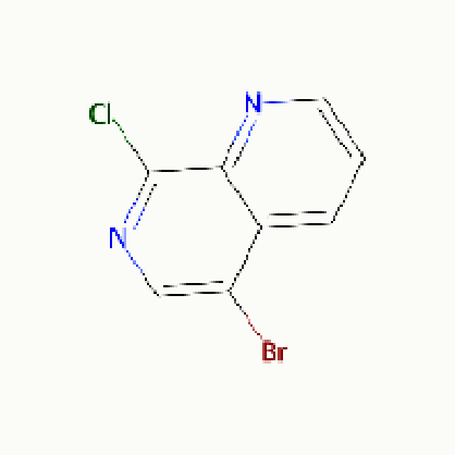 Clc1ncc(Br)c2cccnc12